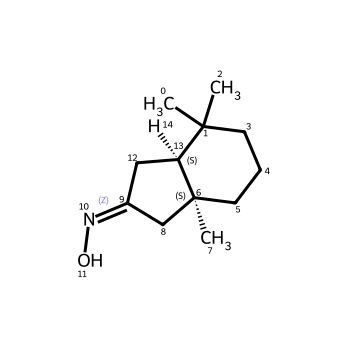 CC1(C)CCC[C@@]2(C)C/C(=N\O)C[C@@H]12